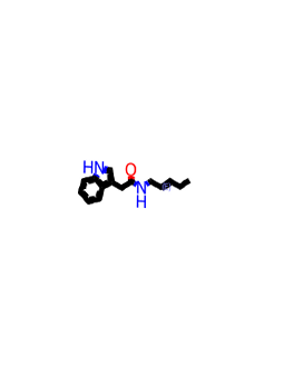 CC/C=C/CNC(=O)Cc1c[nH]c2ccccc12